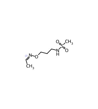 C/C=N\OCCCNS(C)(=O)=O